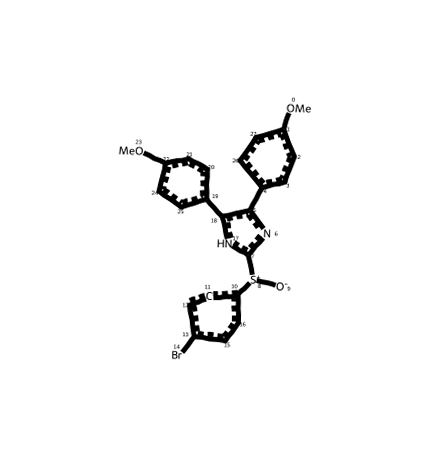 COc1ccc(-c2nc([S+]([O-])c3ccc(Br)cc3)[nH]c2-c2ccc(OC)cc2)cc1